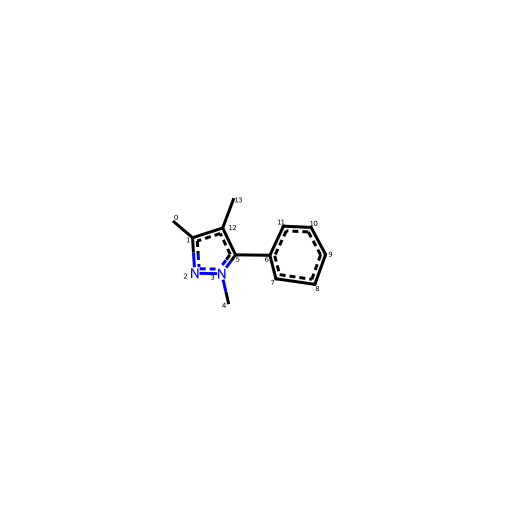 Cc1nn(C)c(-c2ccccc2)c1C